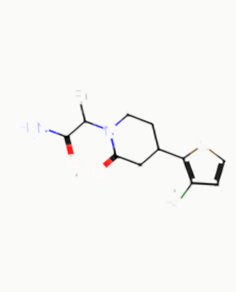 CCC(C(N)=O)N1CCC(c2sccc2Br)CC1=O